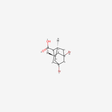 O=C(O)C1[C@H]2CC3(Br)CC(Br)(C[C@H]1C3)C2